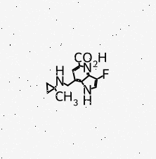 CC1(NCc2cc(C(=O)O)nc3c(F)c[nH]c23)CC1